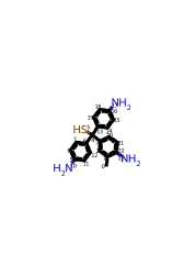 Cc1cc(C(S)(c2ccc(N)cc2)c2ccc(N)cc2)ccc1N